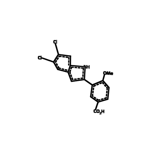 COc1ccc(C(=O)O)cc1-c1cc2cc(Cl)c(Cl)cc2[nH]1